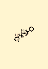 O=C(Nc1cccnc1)Nc1nc(-c2ccccc2)cs1